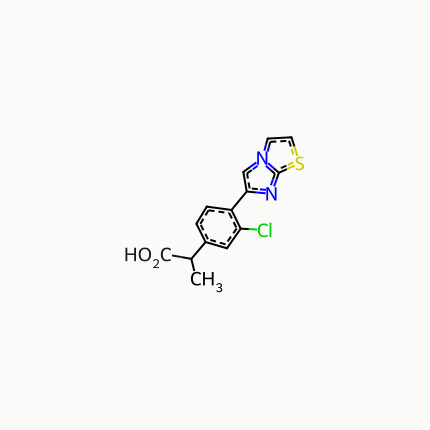 CC(C(=O)O)c1ccc(-c2cn3ccsc3n2)c(Cl)c1